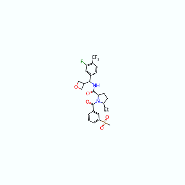 CC[C@@H]1CC[C@H](C(=O)NC(c2ccc(C(F)(F)F)c(F)c2)C2COC2)N1C(=O)c1cccc(S(C)(=O)=O)c1